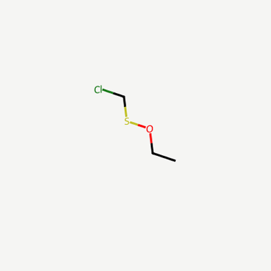 CCOSCCl